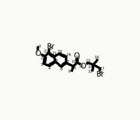 COc1ccc2cc(C(C)C(=O)OCC(C)(C)CBr)ccc2c1Br